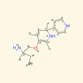 CC1=CC(C)(c2ccncc2)NC(C)=C1OCC(C)(N)CC(C)C